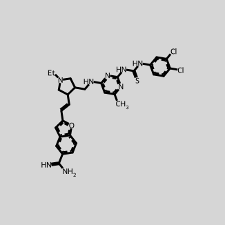 CCN1CC(C=Cc2cc3cc(C(=N)N)ccc3o2)C(CNc2cc(C)nc(NC(=S)Nc3ccc(Cl)c(Cl)c3)n2)C1